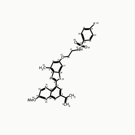 C=C(C)c1cc(-c2nc3c(C)cc(OCCNS(=O)(=O)c4ccc(F)cc4)cc3s2)c2ncc(OC)nc2c1